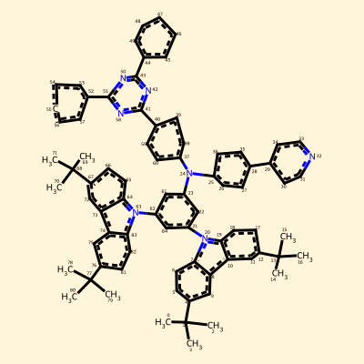 CC(C)(C)c1ccc2c(c1)c1cc(C(C)(C)C)ccc1n2-c1cc(N(c2ccc(-c3ccncc3)cc2)c2ccc(-c3nc(-c4ccccc4)nc(-c4ccccc4)n3)cc2)cc(-n2c3ccc(C(C)(C)C)cc3c3cc(C(C)(C)C)ccc32)c1